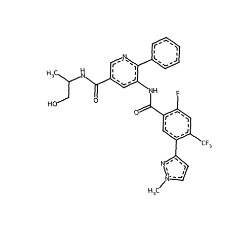 CC(CO)NC(=O)c1cnc(-c2ccccc2)c(NC(=O)c2cc(-c3ccn(C)n3)c(C(F)(F)F)cc2F)c1